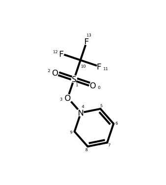 O=S(=O)(ON1C=CC=CC1)C(F)(F)F